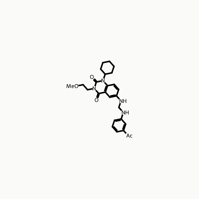 COCCn1c(=O)c2cc(NCNc3cccc(C(C)=O)c3)ccc2n(C2CCCCC2)c1=O